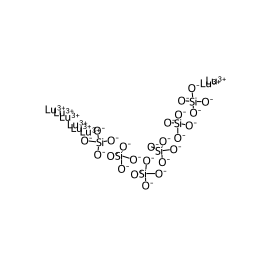 [Lu+3].[Lu+3].[Lu+3].[Lu+3].[Lu+3].[Lu+3].[Lu+3].[Lu+3].[O-][Si]([O-])([O-])[O-].[O-][Si]([O-])([O-])[O-].[O-][Si]([O-])([O-])[O-].[O-][Si]([O-])([O-])[O-].[O-][Si]([O-])([O-])[O-].[O-][Si]([O-])([O-])[O-]